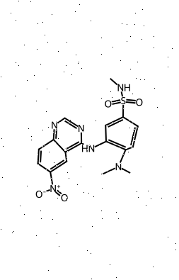 CNS(=O)(=O)c1ccc(N(C)C)c(Nc2ncnc3ccc([N+](=O)[O-])cc23)c1